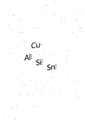 [Al].[Cu].[Si].[Sn]